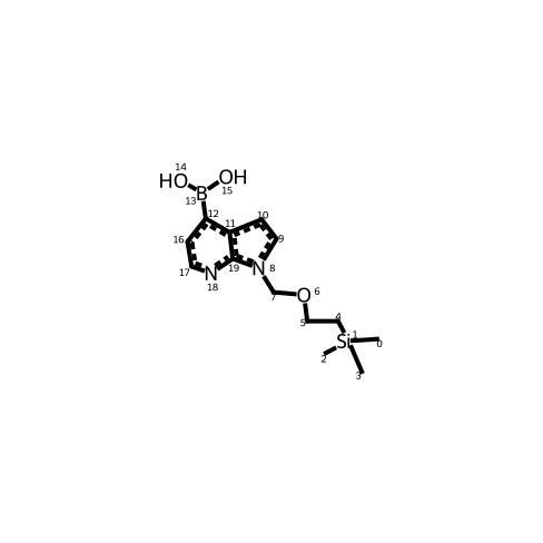 C[Si](C)(C)CCOCn1ccc2c(B(O)O)ccnc21